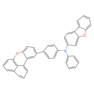 c1ccc(N(c2ccc(-c3ccc4c(c3)-c3cccc5cccc(c35)O4)cc2)c2ccc3c(c2)oc2ccccc23)cc1